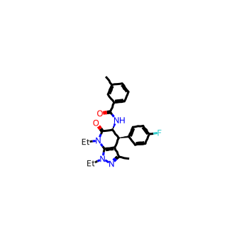 CCN1C(=O)[C@@H](NC(=O)c2cccc(C)c2)[C@@H](c2ccc(F)cc2)c2c(C)nn(CC)c21